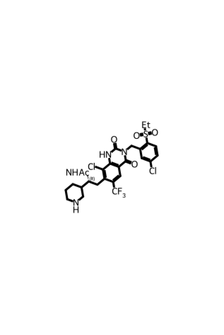 CCS(=O)(=O)c1ccc(Cl)cc1Cn1c(=O)[nH]c2c(Cl)c(C[C@@H](NC(C)=O)C3CCCNC3)c(C(F)(F)F)cc2c1=O